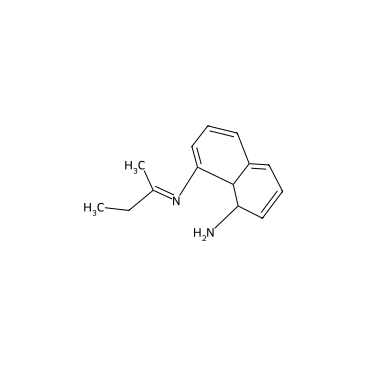 CC/C(C)=N/C1=CC=CC2=CC=CC(N)C21